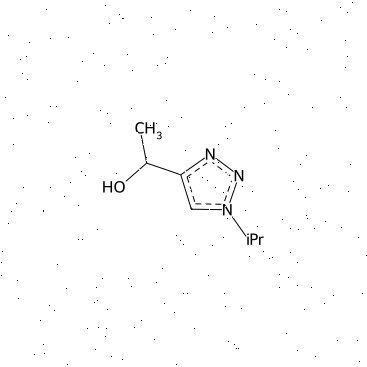 CC(O)c1cn(C(C)C)nn1